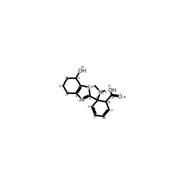 CN(C)C1(c2nc3c(s2)C(O)CCC3)C=CC=CC1C(=O)O